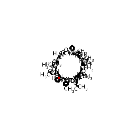 CC(C)CCOC[C@@H]1NC(=O)[C@H](Cc2cccc(Cl)c2)N(C)C(O)[C@H](Cc2ccccc2)N(C)C(=O)[C@H](COC[C@H](C)O)NC(=O)[C@H](CC(C)C)N(C)C(=O)CCCN(C)C(=O)C[C@@H](C(=O)N2CCCCC2)NC(=O)[C@H](CC(C)C)N(C)C(=O)[C@H](CC(C)C)N(C)C(=O)[C@H]([C@@H](C)O)NC(=O)[C@H](CC(C)C)N(C)C1=O